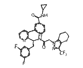 O=C(Cn1nc(C(F)(F)F)c2c1CCCC2)N[C@@H](Cc1cc(F)cc(F)c1)c1ncccc1-c1cccc(C(=O)NC2CC2)c1